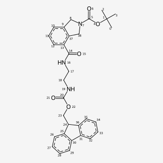 CC(C)(C)OC(=O)N1Cc2cccc(C(=O)NCCNC(=O)OCC3c4ccccc4-c4ccccc43)c2C1